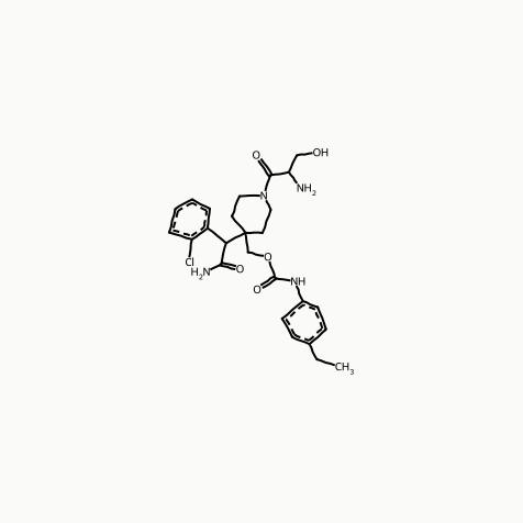 CCc1ccc(NC(=O)OCC2(C(C(N)=O)c3ccccc3Cl)CCN(C(=O)C(N)CO)CC2)cc1